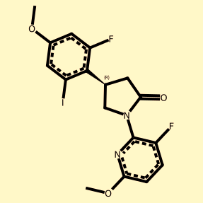 COc1cc(F)c([C@H]2CC(=O)N(c3nc(OC)ccc3F)C2)c(I)c1